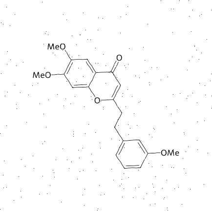 COc1cccc(CCc2cc(=O)c3cc(OC)c(OC)cc3o2)c1